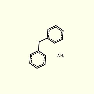 [AlH3].[CH](c1ccccc1)c1ccccc1